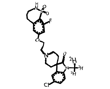 [2H]C([2H])([2H])N1C(=O)C2(CCN(CCOc3cc(F)c4c(c3)CCNS4(=O)=O)CC2)c2cc(Cl)ccc21